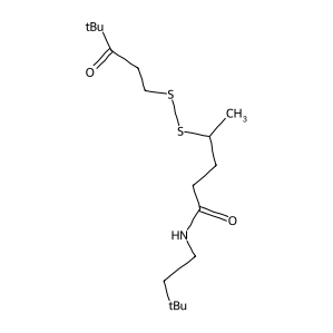 CC(CCC(=O)NCCC(C)(C)C)SSCCC(=O)C(C)(C)C